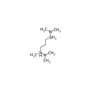 CN(C)[SiH2]CCC[SiH](C)N(C)C